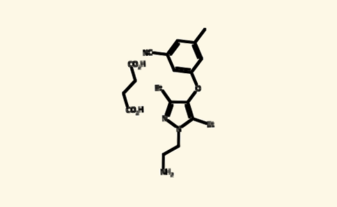 CCc1nn(CCN)c(CC)c1Oc1cc(C)cc(C#N)c1.O=C(O)CCC(=O)O